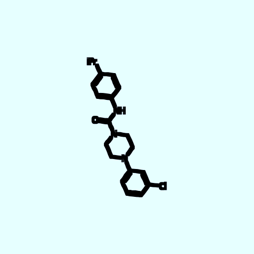 CC(C)c1ccc(NC(=O)N2CCN(c3cccc(Cl)c3)CC2)cc1